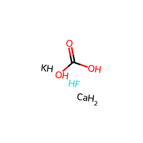 F.O=C(O)O.[CaH2].[KH]